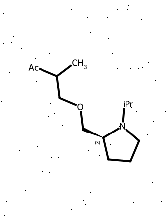 CC(=O)C(C)COC[C@@H]1CCCN1C(C)C